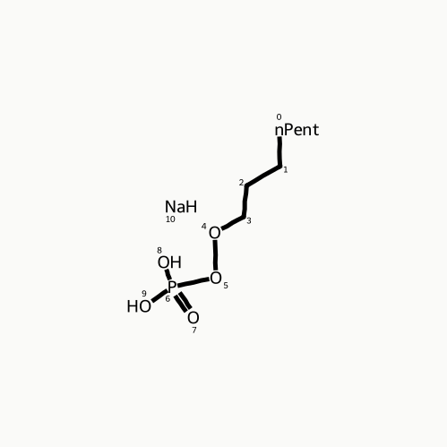 CCCCCCCCOOP(=O)(O)O.[NaH]